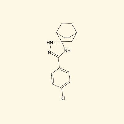 Clc1ccc(C2=NN[C@]3(CC4CCC3CC4)N2)cc1